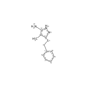 Cc1c(SCc2ccccc2)n[nH]c1N